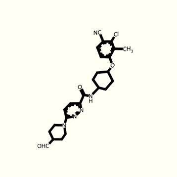 Cc1c(OC2CCC(NC(=O)c3ccc(N4CCC(C=O)CC4)nn3)CC2)ccc(C#N)c1Cl